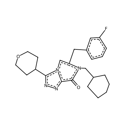 O=c1c2nnc(C3CCOCC3)n2cc(Cc2cccc(F)c2)n1CC1CCCCC1